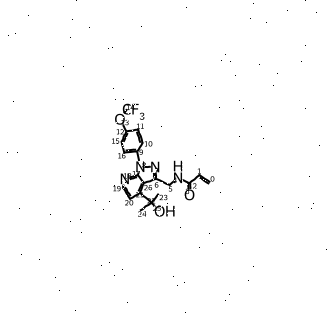 C=CC(=O)NCc1nn(-c2ccc(OC(F)(F)F)cc2)c2nccc(C(C)(C)O)c12